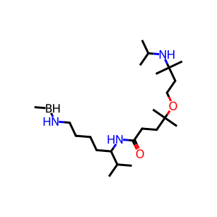 CBNCCCCC(NC(=O)CCC(C)(C)OCCC(C)(C)NC(C)C)C(C)C